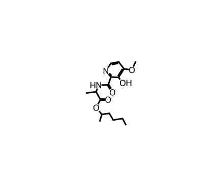 CCCCC(C)OC(=O)C(C)NC(=O)c1nccc(OC)c1O